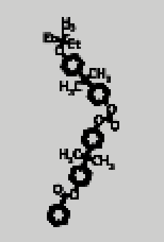 CCC(C)(CC)Oc1ccc(C(C)(C)c2ccc(OC(=O)Oc3ccc(C(C)(C)c4ccc(OC(=O)c5ccccc5)cc4)cc3)cc2)cc1